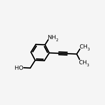 CC(C)C#Cc1cc(CO)ccc1N